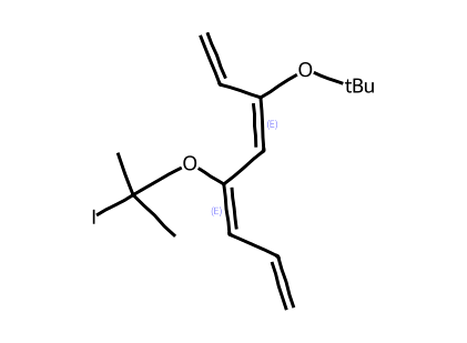 C=C/C=C(\C=C(/C=C)OC(C)(C)C)OC(C)(C)I